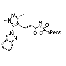 CCCCCS(=O)(=O)NC(=O)C=Cc1c(C)nn(C)c1-n1cc2ccccc2n1